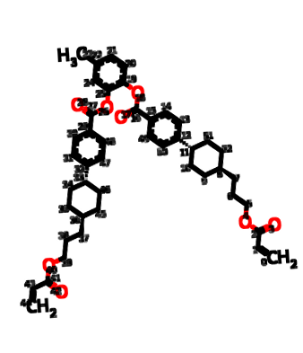 C=CC(=O)OCCC[C@H]1CC[C@H](c2ccc(C(=O)Oc3ccc(C)cc3OC(=O)c3ccc([C@H]4CC[C@H](CCCOC(=O)C=C)CC4)cc3)cc2)CC1